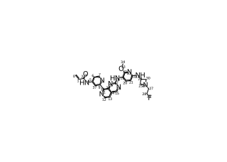 C=CC(=O)Nc1ccnc(-c2nccc3cnc(Nc4ccc(NC5CN(CCF)C5)nc4OC)nc23)c1